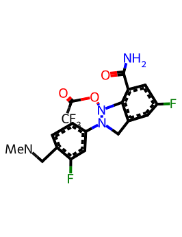 CNCc1ccc(N2Cc3cc(F)cc(C(N)=O)c3N2OC(=O)C(F)(F)F)cc1F